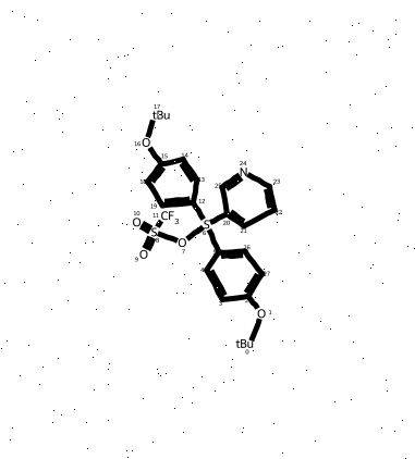 CC(C)(C)Oc1ccc(S(OS(=O)(=O)C(F)(F)F)(c2ccc(OC(C)(C)C)cc2)c2cccnc2)cc1